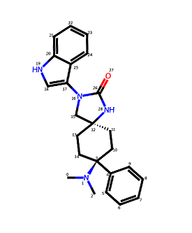 CN(C)[C@]1(c2ccccc2)CC[C@]2(CC1)CN(c1c[nH]c3ccccc13)C(=O)N2